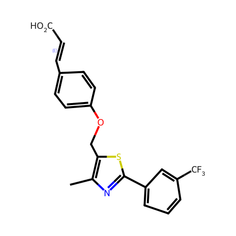 Cc1nc(-c2cccc(C(F)(F)F)c2)sc1COc1ccc(/C=C/C(=O)O)cc1